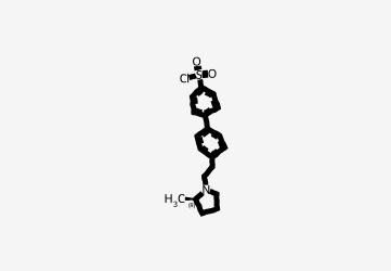 C[C@@H]1CCCN1CCc1ccc(-c2ccc(S(=O)(=O)Cl)cc2)cc1